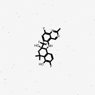 Cc1ncc2c(N[C@H]3c4ccc(F)c(O)c4C(C)(C)C[C@]3(O)C(F)(F)F)ccc(F)c2n1